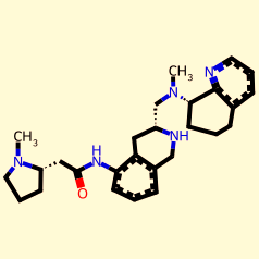 CN1CCC[C@H]1CC(=O)Nc1cccc2c1C[C@H](CN(C)[C@H]1CCCc3cccnc31)NC2